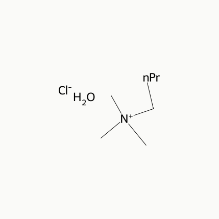 CCCC[N+](C)(C)C.O.[Cl-]